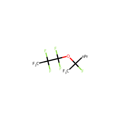 CCCC(F)(OC(F)(F)C(F)(F)C(F)(F)F)C(F)(F)F